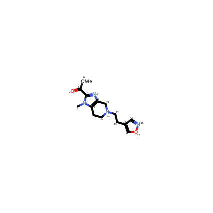 COC(=O)c1nc2c(n1C)CCN(CCc1cnoc1)C2